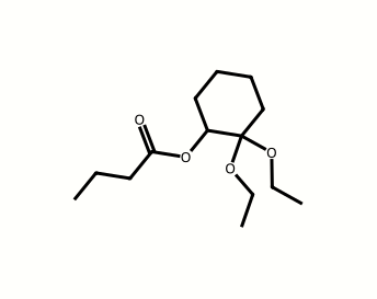 CCCC(=O)OC1CCCCC1(OCC)OCC